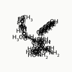 CCc1cc(Nc2nccn3c(-c4ccc(OC)c(F)c4F)cnc23)ccc1C(=O)NCCCCC(=O)NC[C@H]1O[C@H](O[C@@H]2[C@@H](O)[C@H](O[C@H]3O[C@H](CN)[C@@H](O)[C@H](O)[C@H]3O)[C@@H](N)C[C@H]2NC(=O)[C@@H](O)CCN)[C@H](O)[C@@H](N)[C@@H]1O.O=C(O)C(F)(F)F.O=C(O)C(F)(F)F.O=C(O)C(F)(F)F.O=C(O)C(F)(F)F